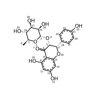 C[C@@H]1O[C@@H](O[C@H]2C(=O)c3c(O)cc(O)cc3O[C@H]2c2ccc(O)cc2)[C@H](O)[C@H](O)[C@H]1O